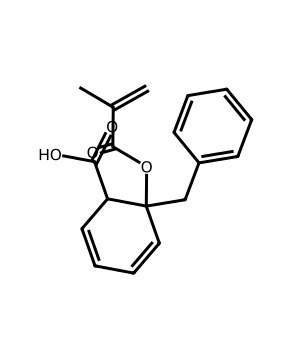 C=C(C)C(=O)OC1(Cc2ccccc2)C=CC=CC1C(=O)O